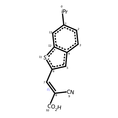 CC(C)c1ccc2cc(/C=C(\C#N)C(=O)O)sc2c1